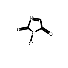 [CH2+][C-]1C(=O)C=NC1=O